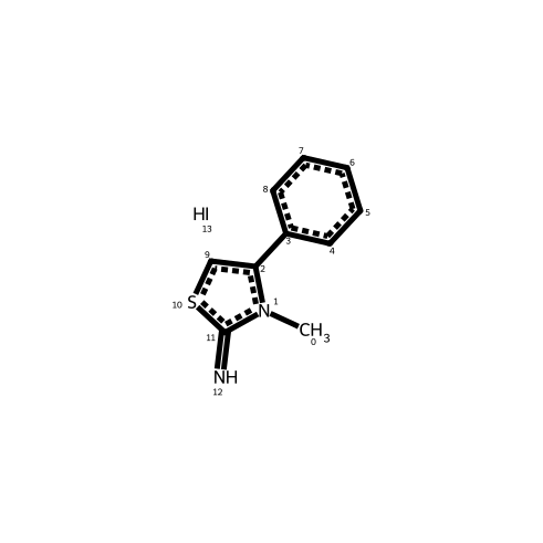 Cn1c(-c2ccccc2)csc1=N.I